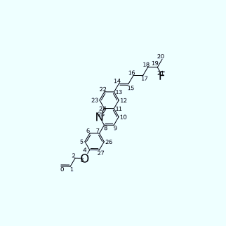 C=CCOc1ccc(-c2ccc3cc(C=CCCCC(C)F)ccc3n2)cc1